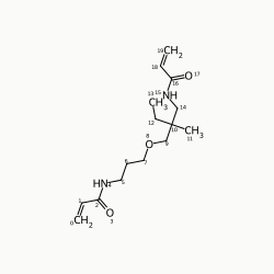 C=CC(=O)NCCCOCC(C)(CC)CNC(=O)C=C